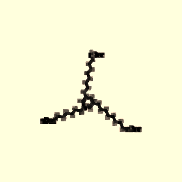 CCCCCCCCCCCCCCCCCCc1cc(CCCCCCCCCCCCCCCCCC)c[n+](CCCCCCCCCCCCCCCC)c1